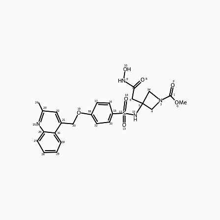 COC(=O)N1CC(CC(=O)NO)(NS(=O)(=O)c2ccc(OCc3cc(C)nc4ccccc34)cc2)C1